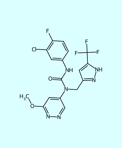 COc1cc(N(Cc2cc(C(F)(F)F)[nH]n2)C(=O)Nc2ccc(F)c(Cl)c2)cnn1